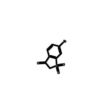 O=C1CS(=O)(=O)c2cc(Br)ccc21